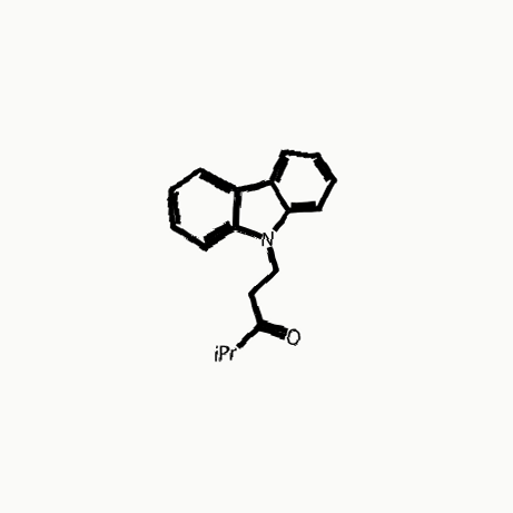 CC(C)C(=O)CCn1c2ccccc2c2ccccc21